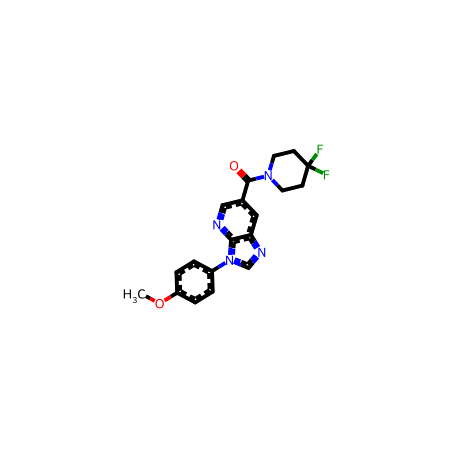 COc1ccc(-n2cnc3cc(C(=O)N4CCC(F)(F)CC4)cnc32)cc1